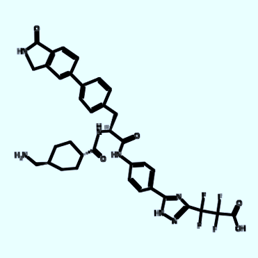 NC[C@H]1CC[C@H](C(=O)N[C@@H](Cc2ccc(-c3ccc4c(c3)CNC4=O)cc2)C(=O)Nc2ccc(-c3nc(C(F)(F)C(F)(F)C(=O)O)n[nH]3)cc2)CC1